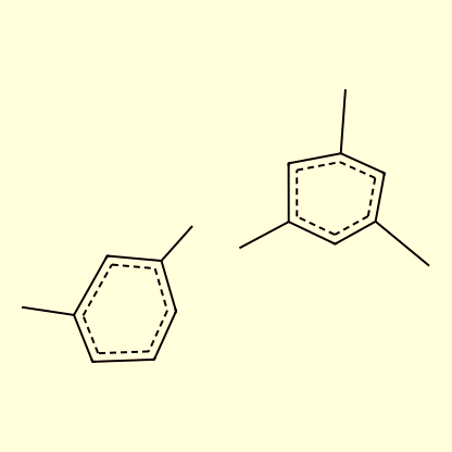 Cc1cc(C)cc(C)c1.Cc1cccc(C)c1